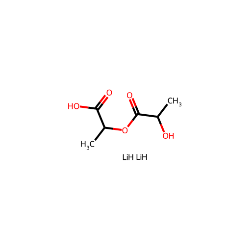 CC(O)C(=O)OC(C)C(=O)O.[LiH].[LiH]